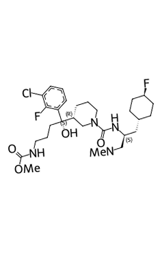 CNC[C@H](C[C@H]1CC[C@H](F)CC1)NC(=O)N1CCC[C@@H]([C@@](O)(CCCNC(=O)OC)c2cccc(Cl)c2F)C1